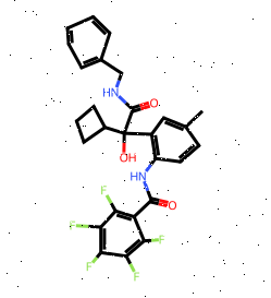 Cc1ccc(NC(=O)c2c(F)c(F)c(F)c(F)c2F)c(C(O)(C(=O)NCc2ccccc2)C2CCC2)c1